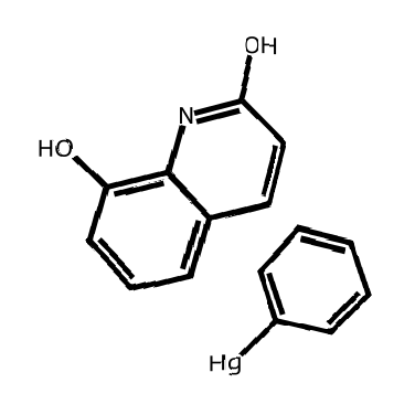 Oc1ccc2cccc(O)c2n1.[Hg][c]1ccccc1